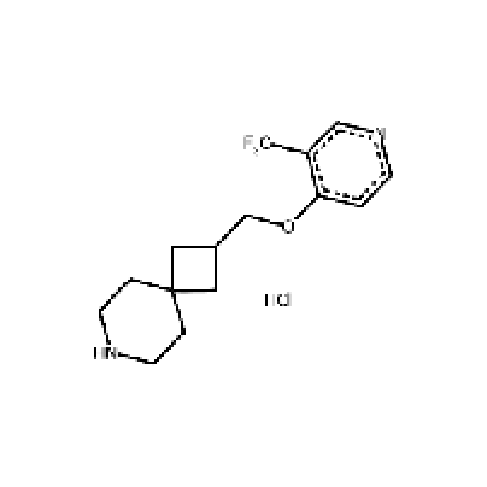 Cl.FC(F)(F)c1cnccc1OCC1CC2(CCNCC2)C1